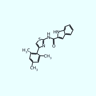 Cc1cc(C)c(-c2csc(NC(=O)c3cc4ccccc4[nH]3)n2)c(C)c1